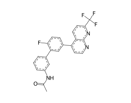 CC(=O)Nc1cccc(-c2cc(-c3ccnc4nc(C(F)(F)F)ccc34)ccc2F)c1